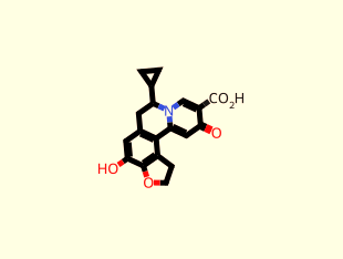 O=C(O)c1cn2c(cc1=O)-c1c(cc(O)c3c1CCO3)CC2C1CC1